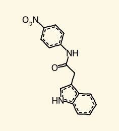 O=C(Cc1c[nH]c2ccccc12)Nc1ccc([N+](=O)[O-])cc1